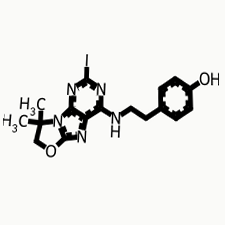 CC1(C)COc2nc3c(NCCc4ccc(O)cc4)nc(I)nc3n21